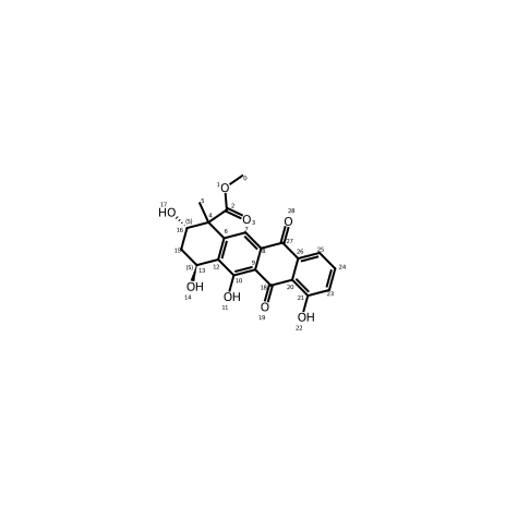 COC(=O)C1(C)c2cc3c(c(O)c2[C@@H](O)C[C@@H]1O)C(=O)c1c(O)cccc1C3=O